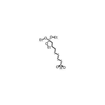 CCO[Si](CCCSSSS[SH](=O)=O)(OCC)OCC